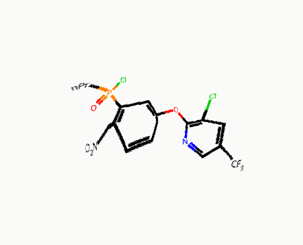 CCCP(=O)(Cl)c1cc(Oc2ncc(C(F)(F)F)cc2Cl)ccc1[N+](=O)[O-]